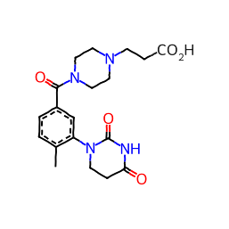 Cc1ccc(C(=O)N2CCN(CCC(=O)O)CC2)cc1N1CCC(=O)NC1=O